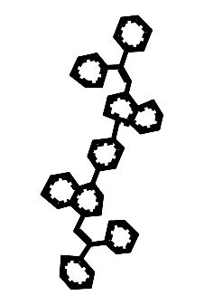 C(=C(c1ccccc1)c1ccccc1)c1ccc(-c2ccc(-c3ccc(C=C(c4ccccc4)c4ccccc4)c4ccccc34)cc2)c2ccccc12